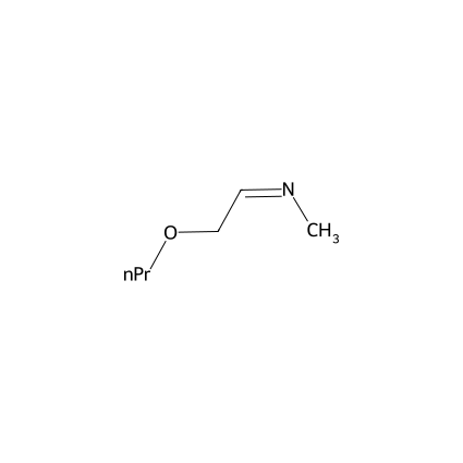 CCCOC/C=N\C